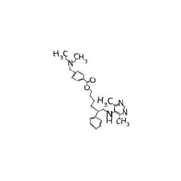 CCN(CC)Cc1ccc(C(=O)OCCCCC(CNc2c(C)ncnc2C)c2ccccc2)cc1